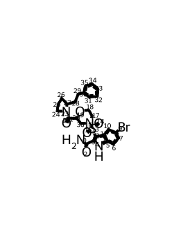 NC(=O)c1[nH]c2ccc(Br)cc2c1S(=O)(=O)N1CCOC(C(=O)N2CCCC2CCc2ccccc2)C1